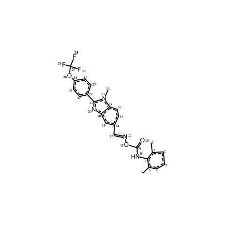 Cc1cccc(C)c1NC(=O)O/N=C/c1ccc2c(c1)nc(-c1ccc(OC(F)(F)F)cc1)n2C